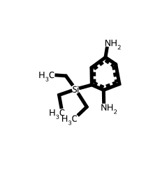 CC[Si](CC)(CC)c1cc(N)ccc1N